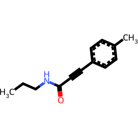 CCCNC(=O)C#Cc1ccc(C)cc1